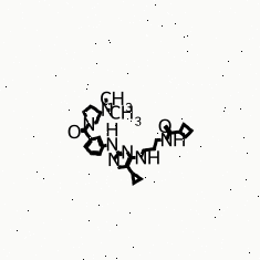 CN(C)[C@H]1CCN(C(=O)c2cccc(Nc3ncc(C4CC4)c(NCCCNC(=O)C4CCC4)n3)c2)C1